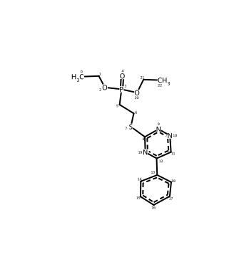 CCOP(=O)(CCSc1nncc(-c2ccccc2)n1)OCC